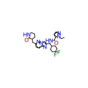 CCn1nccc1C(=O)NC(c1cn2nc(CC3CCCNC3=O)ccc2n1)C1CCC(F)(F)CC1